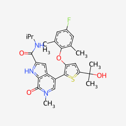 Cc1cc(F)cc(C)c1Oc1cc(C(C)(C)O)sc1-c1cn(C)c(=O)c2[nH]c(C(=O)NC(C)C)cc12